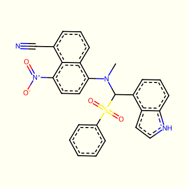 CN(c1ccc([N+](=O)[O-])c2c(C#N)cccc12)C(c1cccc2[nH]ccc12)S(=O)(=O)c1ccccc1